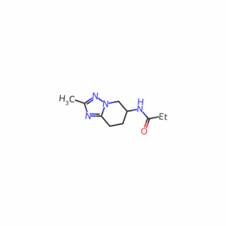 CCC(=O)NC1CCc2nc(C)nn2C1